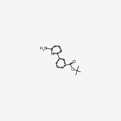 CC(C)(C)OC(=O)c1cccc(-c2cccc(N)n2)c1